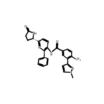 Cn1ccc(-c2cc(C(=O)Nc3ccc([C@@H]4CCC(=O)N4)nc3-c3ccccc3)ccc2C(F)(F)F)n1